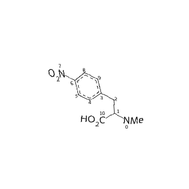 CNC(Cc1ccc([N+](=O)[O-])cc1)C(=O)O